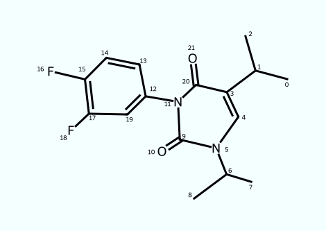 CC(C)c1cn(C(C)C)c(=O)n(-c2ccc(F)c(F)c2)c1=O